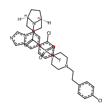 O=C(c1ccc(F)cc1Cl)N1C[C@H]2CC[C@@H](C1)N2c1cc(S(=O)(=O)N2CCN(CCc3ccc(Cl)cc3)CC2)cc2cncn12